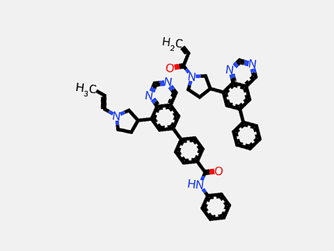 C=CC(=O)N1CCC(c2cc(-c3ccccc3)cc3cncnc23)C1.CC=CN1CCC(c2cc(-c3ccc(C(=O)Nc4ccccc4)cc3)cc3cncnc23)C1